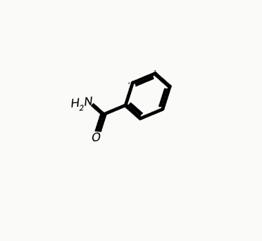 NC(=O)c1[c][c]ccc1